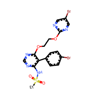 CCS(=O)(=O)Nc1ncnc(OCCOc2ncc(Br)cn2)c1-c1ccc(Br)cc1